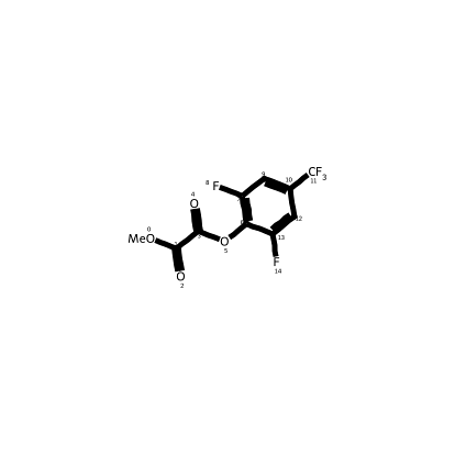 COC(=O)C(=O)Oc1c(F)cc(C(F)(F)F)cc1F